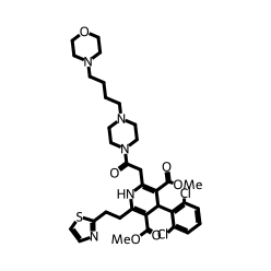 COC(=O)C1=C(CCc2nccs2)NC(CC(=O)N2CCN(CCCCN3CCOCC3)CC2)=C(C(=O)OC)C1c1c(Cl)cccc1Cl